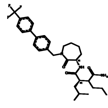 CCCC(C(N)=O)[C@@H](CC(C)C)C(=O)N[C@H]1CCCCN(Cc2ccc(-c3ccc(C(F)(F)F)cc3)cc2)C1=O